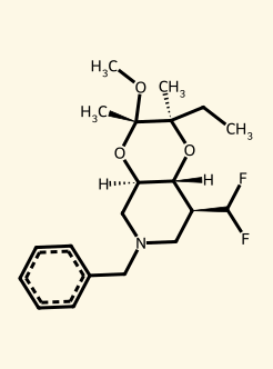 CC[C@@]1(C)O[C@@H]2[C@@H](C(F)F)CN(Cc3ccccc3)C[C@H]2O[C@]1(C)OC